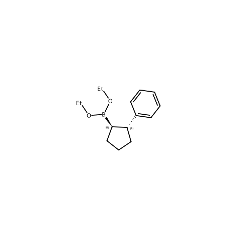 CCOB(OCC)[C@@H]1CCC[C@H]1c1ccccc1